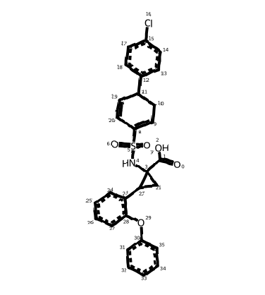 O=C(O)C1(NS(=O)(=O)C2=CCC(c3ccc(Cl)cc3)C=C2)CC1c1ccccc1Oc1ccccc1